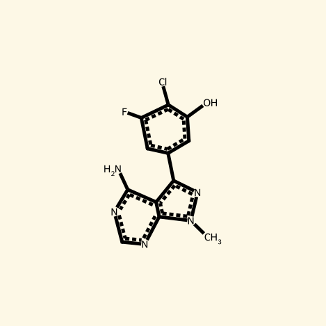 Cn1nc(-c2cc(O)c(Cl)c(F)c2)c2c(N)ncnc21